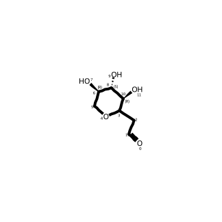 O=[C]CC1OC[C@@H](O)[C@H](O)[C@H]1O